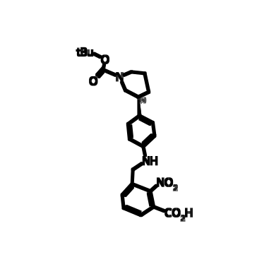 CC(C)(C)OC(=O)N1CCC[C@@H](c2ccc(NCc3cccc(C(=O)O)c3[N+](=O)[O-])cc2)C1